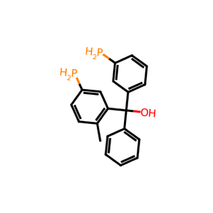 Cc1ccc(P)cc1C(O)(c1ccccc1)c1cccc(P)c1